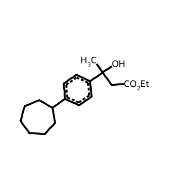 CCOC(=O)CC(C)(O)c1ccc(C2CCCCCC2)cc1